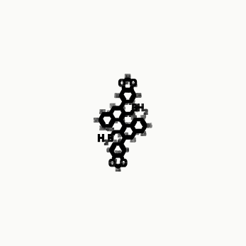 BCc1c(-c2ccc3c(c2)OCO3)cc2ccccc2c1-c1c(CB)c(-c2ccc3c(c2)OCO3)cc2ccccc12